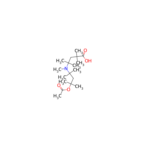 CC(=O)OC(C)(C)CC(C)(C)N(C)C(C)(C)CC(C)(C)C(=O)O